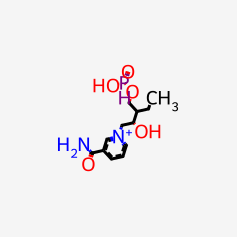 CCC(CO[PH](=O)O)C(O)C[n+]1cccc(C(N)=O)c1